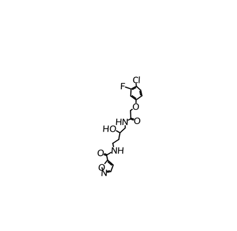 O=C(COc1ccc(Cl)c(F)c1)NCC(O)CCNC(=O)c1ccno1